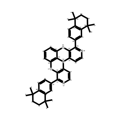 CC1(C)CCC(C)(C)c2cc(-c3nccc4c3Oc3cccc5c3B4c3ccnc(-c4ccc6c(c4)C(C)(C)CCC6(C)C)c3O5)ccc21